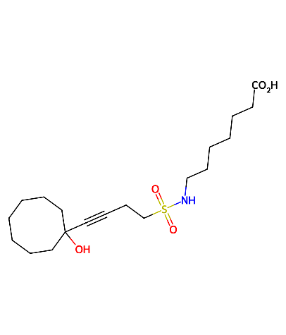 O=C(O)CCCCCCNS(=O)(=O)CCC#CC1(O)CCCCCCC1